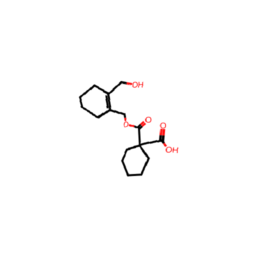 O=C(O)C1(C(=O)OCC2=C(CO)CCCC2)CCCCC1